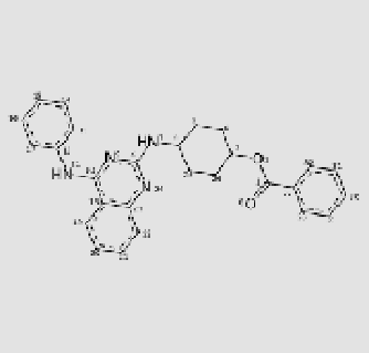 O=C(OC1CCC(Nc2nc(Nc3ccccc3)c3ccccc3n2)CC1)c1ccccc1